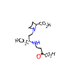 O=C(O)C(=O)CCN[C@@H](CCN1CC[C@H]1C(=O)O)C(=O)O